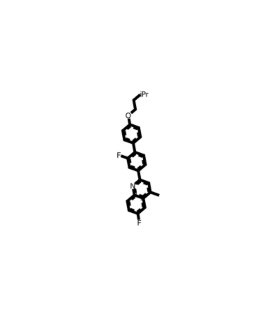 Cc1cc(-c2ccc(-c3ccc(OCCC(C)C)cc3)c(F)c2)nc2ccc(F)cc12